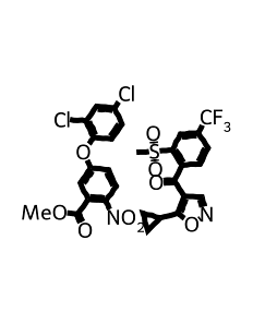 COC(=O)c1cc(Oc2ccc(Cl)cc2Cl)ccc1[N+](=O)[O-].CS(=O)(=O)c1cc(C(F)(F)F)ccc1C(=O)c1cnoc1C1CC1